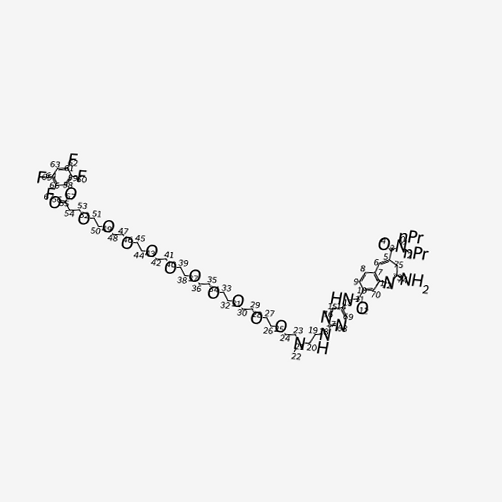 CCCN(CCC)C(=O)C1=Cc2ccc(C(=O)Nc3cnc(NCCN(C)CCOCCOCCOCCOCCOCCOCCOCCOCCOCCOCCC(=O)Oc4c(F)c(F)cc(F)c4F)nc3)cc2N=C(N)C1